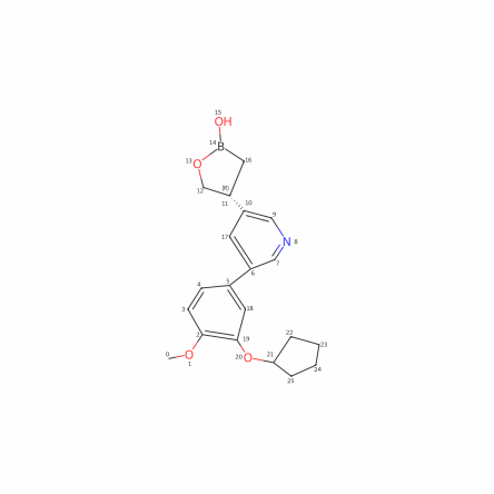 COc1ccc(-c2cncc([C@@H]3COB(O)C3)c2)cc1OC1CCCC1